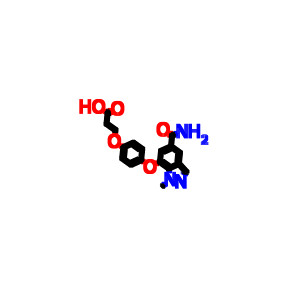 Cn1ncc2cc(C(N)=O)cc(Oc3ccc(OCCC(=O)O)cc3)c21